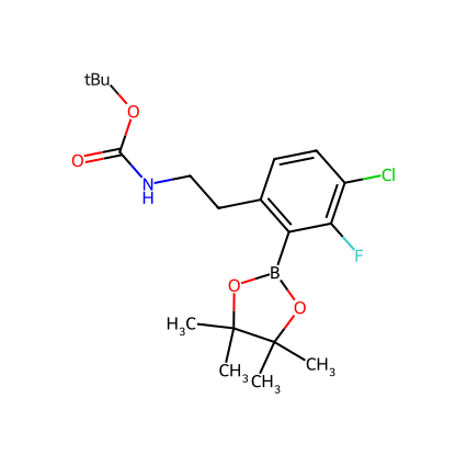 CC(C)(C)OC(=O)NCCc1ccc(Cl)c(F)c1B1OC(C)(C)C(C)(C)O1